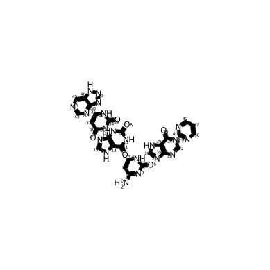 Nc1cc[nH]c(=O)n1.O=c1[nH]c(=O)c2[nH]cnc2[nH]1.O=c1[nH]cnc2nc[nH]c12.O=c1cc[nH]c(=O)[nH]1.c1cncnc1.c1ncc2[nH]nnc2n1